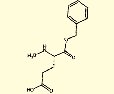 BN[C@@H](CCC(=O)O)C(=O)OCc1ccccc1